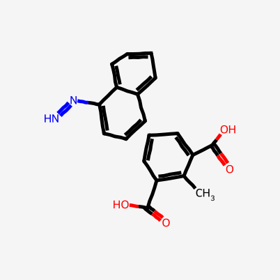 Cc1c(C(=O)O)cccc1C(=O)O.N=Nc1cccc2ccccc12